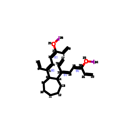 C=C/C(=C\C=C(/C=C)C1CCCCCC1/C(C=C)=C/C=C(\C=C)OI)OI